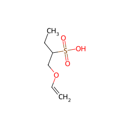 C=COCC(CC)S(=O)(=O)O